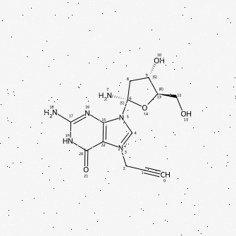 C#CC[n+]1cn([C@@]2(N)C[C@H](O)[C@@H](CO)O2)c2nc(N)[nH]c(=O)c21